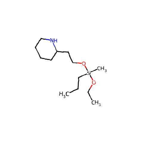 CCC[Si](C)(OCC)OCCC1CCCCN1